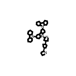 c1ccc(-c2ccc(-c3ccnc(-n4c5ccc(-n6c7ccccc7c7ccccc76)cc5c5cc(-n6c7ccccc7c7ccccc76)ccc54)c3)cc2)nc1